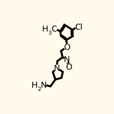 Cc1cc(Cl)cc(OCC(CN2CCC(CN)C2)N=O)c1